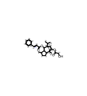 CC1CCC2C1C(OC(=O)/C=C/c1ccccc1)C1(C(C)C)CC(OC(=O)CO)C2(C)O1